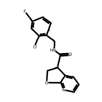 O=C(NCc1ccc(F)cc1Cl)C1COc2ncccc21